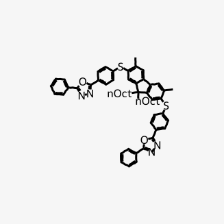 CCCCCCCCC1(CCCCCCCC)c2cc(Sc3ccc(-c4nnc(-c5ccccc5)o4)cc3)c(C)cc2-c2cc(C)c(Sc3ccc(-c4nnc(-c5ccccc5)o4)cc3)cc21